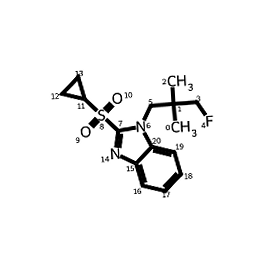 CC(C)(CF)Cn1c(S(=O)(=O)C2CC2)nc2ccccc21